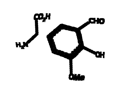 COc1cccc(C=O)c1O.NCC(=O)O